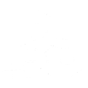 CC(C)(C)C1=CCC(OP(OC2(C(C)(C)C)C=CC(C(C)(C)C)=CC2)OC2(C(C)(C)C)C=CC(C(C)(C)C)=CC2)(C(C)(C)C)C=C1